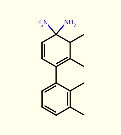 CC1=C(c2cccc(C)c2C)C=CC(N)(N)C1C